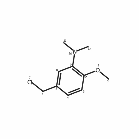 COc1ccc(CCl)cc1N(C)C